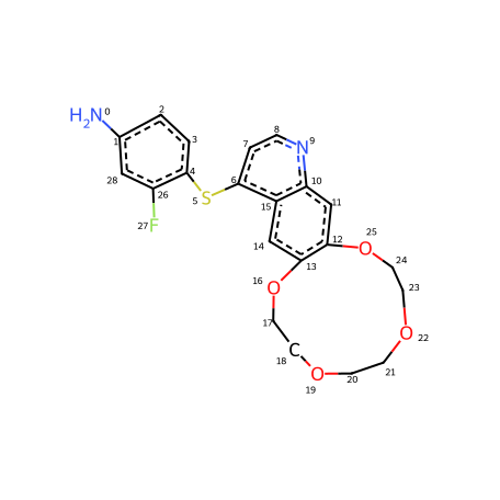 Nc1ccc(Sc2ccnc3cc4c(cc23)OCCOCCOCCO4)c(F)c1